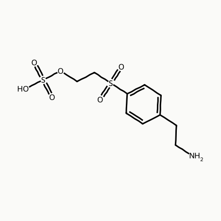 NCCc1ccc(S(=O)(=O)CCOS(=O)(=O)O)cc1